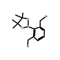 CC1(C)OB(c2c(CBr)cccc2CBr)OC1(C)C